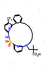 CC(C)(CN1CCCCCCc2ccccc2-c2nc(ccc2C(F)(F)F)NS(=O)(=O)c2cccc1n2)C(=O)O